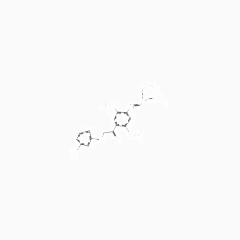 CCN(C)C=Nc1cc(C)c(C(=O)CSc2cccc(F)c2)cc1C